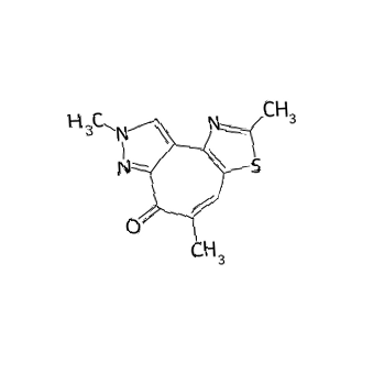 Cc1nc2c(cc(C)c(=O)c3nn(C)cc32)s1